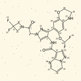 O=C(Nc1cn(CC(=O)N2CC(F)(F)C2)nc1-c1cc2c(cc1OC(F)F)NCCO2)c1cnn2cccnc12